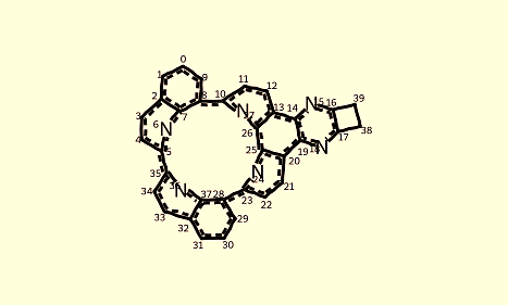 c1cc2ccc3nc2c(c1)c1ccc2c4nc5c(nc4c4ccc(nc4c2n1)c1cccc2ccc3nc21)CC5